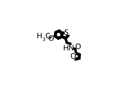 COc1ccc2scc(CCNC(=O)c3ccco3)c2c1